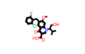 COc1cc2c(cc1Cc1c(F)cccc1Cl)c(=O)c(C(=O)O)cn2C(CO)C(C)C